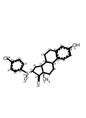 C[C@]12CCC3c4ccc(O)cc4CCC3C1CC([S+]([O-])c1ccc(Cl)cc1)C2=O